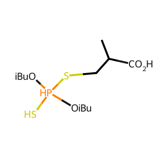 CC(C)CO[PH](S)(OCC(C)C)SCC(C)C(=O)O